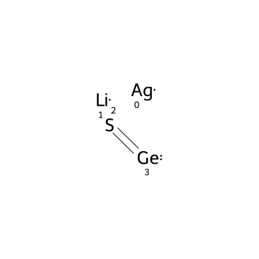 [Ag].[Li].[S]=[Ge]